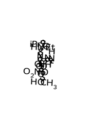 CCOC[C@@H](NC1CC2(CCN(c3ccc(C(=O)NS(=O)(=O)c4cc5c(c([N+](=O)[O-])c4)O[C@H]([C@H]4CC[C@](C)(O)CC4)CO5)c(Oc4cnc5[nH]cc(F)c5c4)c3)CC2)C1)c1ccccc1C(C)C